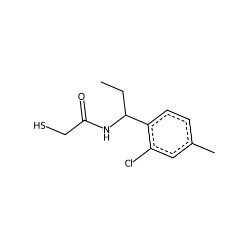 CCC(NC(=O)CS)c1ccc(C)cc1Cl